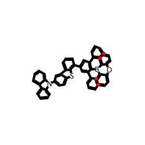 c1ccc(-c2cc(-c3cccc4c3sc3ccc(-n5c6ccccc6c6ccccc65)cc34)cc(-c3ccccc3)c2B2c3ccccc3Oc3ccccc32)cc1